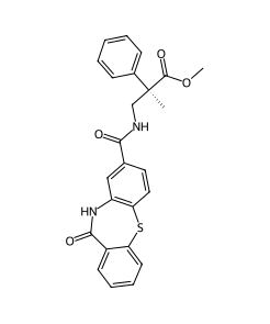 COC(=O)[C@@](C)(CNC(=O)c1ccc2c(c1)NC(=O)c1ccccc1S2)c1ccccc1